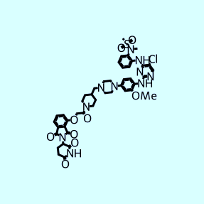 COc1cc(N2CCN(CC3CCN(C(=O)COc4cccc5c4C(=O)N(C4CCC(=O)NC4=O)C5=O)CC3)CC2)ccc1Nc1ncc(Cl)c(Nc2ccccc2N(C)S(C)(=O)=O)n1